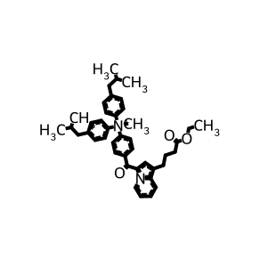 CCOC(=O)CCCc1cc(C(=O)c2ccc([N+](C)(c3ccc(CC(C)C)cc3)c3ccc(CC(C)C)cc3)cc2)n2ccccc12